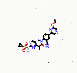 CCOc1cncc(-c2ccc(N(C)C(=O)C(C)c3ccnc(NS(=O)(=O)C4CC4)n3)c(C#N)c2)n1